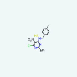 CCCc1nc(Cl)c([N+](=O)[O-])c(N(S)Cc2ccc(C)cc2)n1